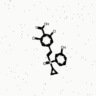 O=C(O)c1c(Cl)cc(/C=C/P(=O)(c2cccc(O)c2)C2CC2)cc1Cl